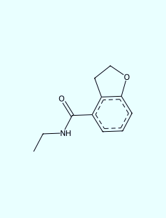 CCNC(=O)c1cccc2c1CCO2